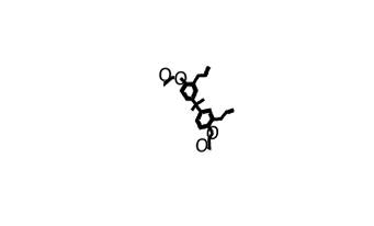 C=CCc1cc(C(C)(C)c2ccc(OC3CO3)c(CC=C)c2)ccc1OC1CO1